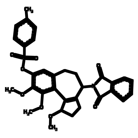 COc1c(OS(=O)(=O)c2ccc(C)cc2)cc2c(c1OC)C1=C(CCC1OC)C(N1C(=O)c3ccccc3C1=O)CC2